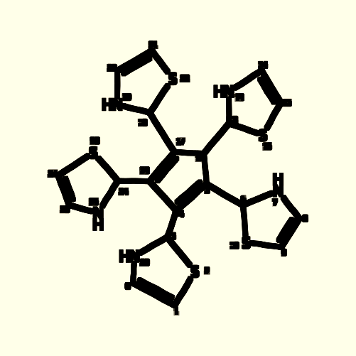 C1=CSC(C2=C(C3NC=CS3)C(C3NC=CS3)C(C3NC=CS3)=C2C2NC=CS2)N1